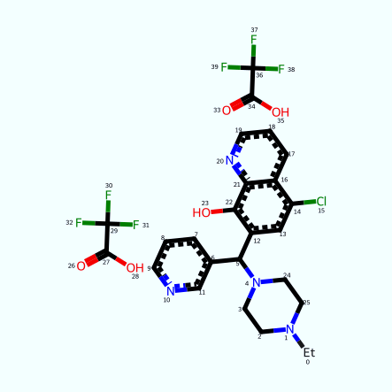 CCN1CCN(C(c2cccnc2)c2cc(Cl)c3cccnc3c2O)CC1.O=C(O)C(F)(F)F.O=C(O)C(F)(F)F